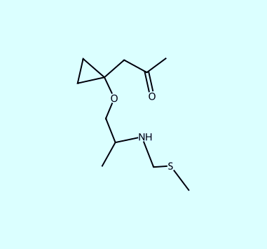 CSCNC(C)COC1(CC(C)=O)CC1